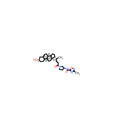 Cc1noc(C(=O)NC2CCN(C(=O)CCC(C)[C@H]3CC[C@H]4[C@@H]5CC=C6C[C@@H](O)CC[C@]6(C)[C@H]5CC[C@]34C)C2)n1